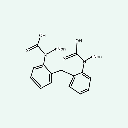 CCCCCCCCCN(C(O)=S)c1ccccc1Cc1ccccc1N(CCCCCCCCC)C(O)=S